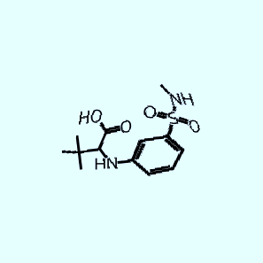 CNS(=O)(=O)c1cccc(NC(C(=O)O)C(C)(C)C)c1